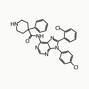 O=C(Nc1ncnc2c1nc(-c1ccccc1Cl)n2-c1ccc(Cl)cc1)C1(c2ccccc2)CCNCC1